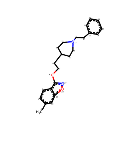 Cc1ccc2c(OCCC3CCN(CCc4ccccc4)CC3)noc2c1